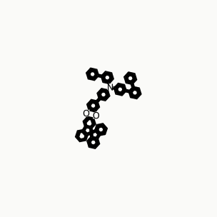 C1=CC2=C(CC1)C1(c3ccccc3-c3ccccc31)C1C=C3Oc4cc(-c5ccc(N(c6ccc(-c7ccccc7-c7ccccc7)cc6)c6cccc(-c7ccccc7)c6)cc5)ccc4OC3=CC21